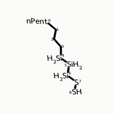 CCCCCCCC[SiH2][SiH2][SiH2]SS